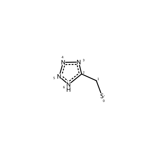 [S]Cc1nnn[nH]1